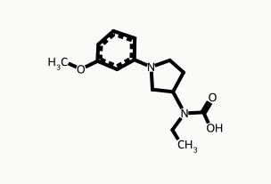 CCN(C(=O)O)C1CCN(c2cccc(OC)c2)C1